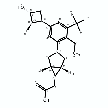 CCc1c(N2C[C@@H]3[C@@H](CC(=O)O)[C@@H]3C2)nc(N2C[C@@H](O)[C@@H]2I)nc1C(F)(F)F